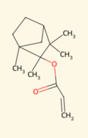 C=CC(=O)OC1(C)C2(C)CCC(C2)C1(C)C